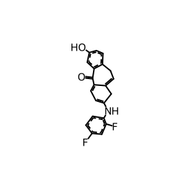 O=C1C2=CC=C(Nc3ccc(F)cc3F)CC2=CCc2ccc(O)cc21